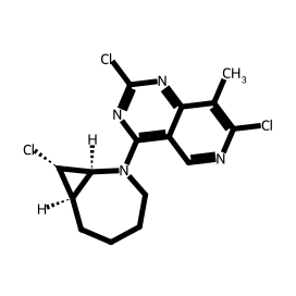 Cc1c(Cl)ncc2c(N3CCCC[C@H]4[C@H](Cl)[C@H]43)nc(Cl)nc12